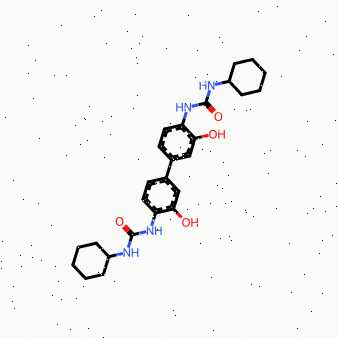 O=C(Nc1ccc(-c2ccc(NC(=O)NC3CCCCC3)c(O)c2)cc1O)NC1CCCCC1